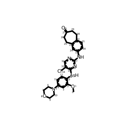 COc1cc(N2CCOCC2)ccc1[AsH]c1nc(Nc2ccc3c(c2)CCC(=O)CC3)ncc1Cl